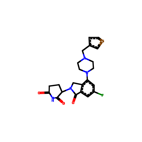 O=C1CCC(N2Cc3c(cc(F)cc3N3CCN(Cc4ccsc4)CC3)C2=O)C(=O)N1